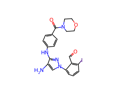 Nc1cn(-c2cccc(I)c2C=O)nc1Nc1ccc(C(=O)N2CCOCC2)cc1